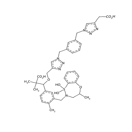 Cc1ccc(C(OCc2cn(Cc3cccc(Cn4cc(CC(=O)O)nn4)c3)nn2)C(C)(C)C(=O)O)cc1CN1CC(C)Oc2ccccc2S1(O)O